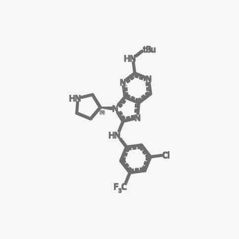 CC(C)(C)Nc1ncc2nc(Nc3cc(Cl)cc(C(F)(F)F)c3)n([C@H]3CCNC3)c2n1